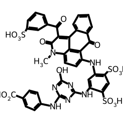 Cn1c(=O)c(C(=O)c2cccc(S(=O)(=O)O)c2)c2c3c(c(Nc4cc(Nc5nc(O)nc(Nc6ccc(C(=O)O)cc6)n5)c(S(=O)(=O)O)cc4S(=O)(=O)O)ccc31)C(=O)c1ccccc1-2